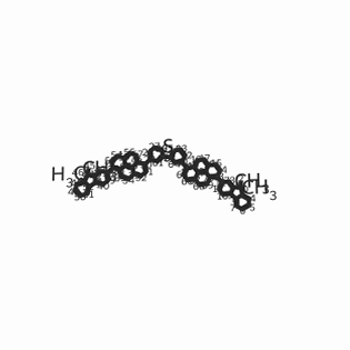 CC1(C)c2ccccc2-c2ccc(-c3ccc4ccc5c(-c6ccc7sc8ccc(-c9ccc%10ccc%11c(-c%12ccc%13c(c%12)C(C)(C)c%12ccccc%12-%13)ccc%12ccc9c%10c%12%11)cc8c7c6)ccc6ccc3c4c65)cc21